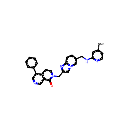 CNc1ccnc(NCc2ccc3nc(Cn4ccc5c(-c6ccccc6)cncc5c4=O)cn3c2)c1